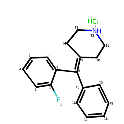 Cl.Fc1ccccc1C(=C1CCNCC1)c1ccccc1